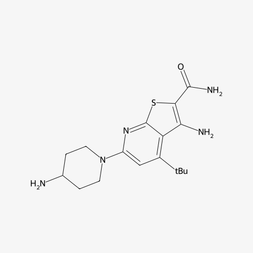 CC(C)(C)c1cc(N2CCC(N)CC2)nc2sc(C(N)=O)c(N)c12